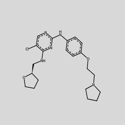 Clc1cnc(Nc2ccc(OCCN3CCCC3)cc2)nc1NC[C@H]1CCCO1